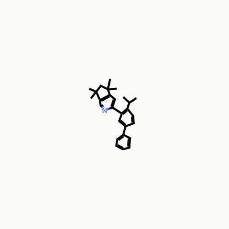 CC(C)c1ccc(-c2ccccc2)cc1-c1cc2c(cn1)C(C)(C)CC2(C)C